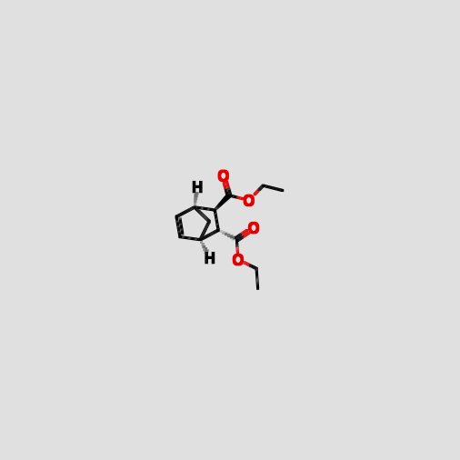 CCOC(=O)[C@H]1[C@H](C(=O)OCC)[C@H]2C=C[C@@H]1C2